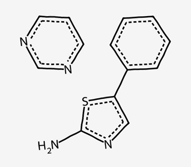 Nc1ncc(-c2ccccc2)s1.c1cncnc1